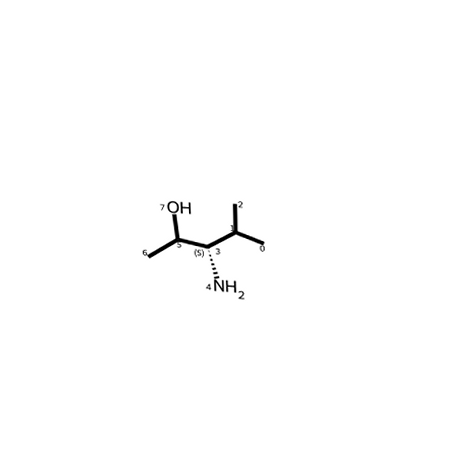 CC(C)[C@H](N)C(C)O